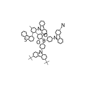 Cc1cc(-c2cccc3sc4ccccc4c23)c(-c2cc3c4c(c2)Oc2cc(-n5c6ccc(C(C)(C)C)cc6c6cc(C(C)(C)C)ccc65)ccc2B4c2ccc(-n4c5ccccc5c5cc(C#N)ccc54)cc2O3)c(-n2c3ccccc3c3ccccc32)c1